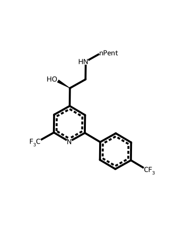 CCCCCNC[C@H](O)c1cc(-c2ccc(C(F)(F)F)cc2)nc(C(F)(F)F)c1